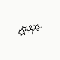 O=C(Cn1cnc2cncnc21)Nc1ccco1